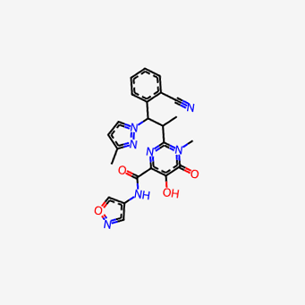 Cc1ccn(C(c2ccccc2C#N)C(C)c2nc(C(=O)Nc3cnoc3)c(O)c(=O)n2C)n1